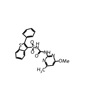 COc1cc(C)nc(NC(=O)NS(=O)(=O)c2c(-c3ccccc3)sc3ccccc23)n1